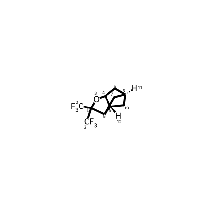 FC(F)(F)C1(C(F)(F)F)OC2C[C@@H]3CC1[C@H]2C3